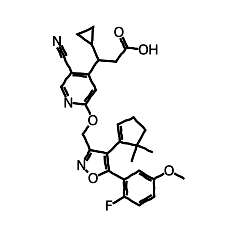 COc1ccc(F)c(-c2onc(COc3cc(C(CC(=O)O)C4CC4)c(C#N)cn3)c2C2=CCCC2(C)C)c1